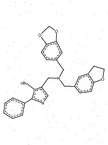 CCCCn1c(CN(Cc2ccc3c(c2)CCO3)Cc2ccc3c(c2)OCO3)cnc1-c1ccccc1